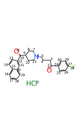 Cl.O=C(CCCN1CCC(C(=O)c2ccc3ccccc3c2)CC1)c1ccc(F)cc1